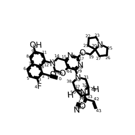 C#Cc1c(F)ccc2cc(O)cc(N3Cc4nc(OCC56CCCN5CCC6)nc(N5C[C@H]6C[C@H](C#N)[C@@H](C5)N6C(=O)C=C)c4OC3=O)c12